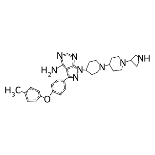 Cc1ccc(Oc2ccc(-c3nn(C4CCN(C5CCN(C6CNC6)CC5)CC4)c4ncnc(N)c34)cc2)cc1